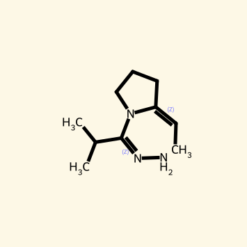 C/C=C1/CCCN1/C(=N\N)C(C)C